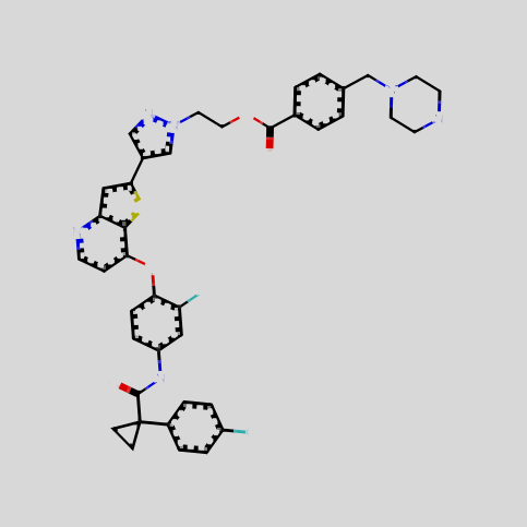 O=C(OCCn1cc(-c2cc3nccc(Oc4ccc(NC(=O)C5(c6ccc(F)cc6)CC5)cc4F)c3s2)cn1)c1ccc(CN2CCNCC2)cc1